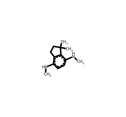 CNc1ccc(NC)c2c1CCC2(C)C